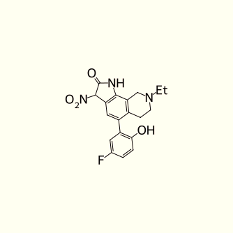 CCN1CCc2c(-c3cc(F)ccc3O)cc3c(c2C1)NC(=O)C3[N+](=O)[O-]